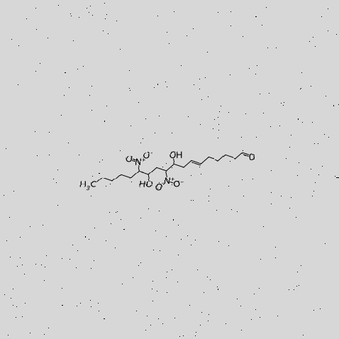 CCCCCC(C(O)CC(C(O)CC=CCCCC[C]=O)[N+](=O)[O-])[N+](=O)[O-]